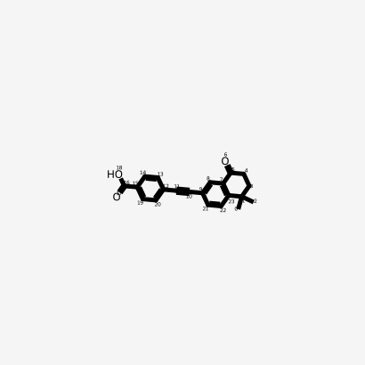 CC1(C)CCC(=O)c2cc(C#Cc3ccc(C(=O)O)cc3)ccc21